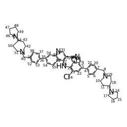 Cc1cc(-c2ccc(CN3CCC(N4CCCC4)CC3)cc2)cc(Cl)c1Nc1c(C#N)cnc2cc(-c3ccc(CN4CCC(N5CCCC5)CC4)cc3)ccc12